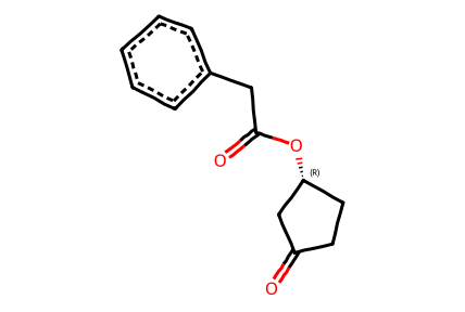 O=C1CC[C@@H](OC(=O)Cc2ccccc2)C1